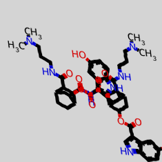 CN(C)CCCNC(=O)C1C2CCC(C(OC(=O)c3c[nH]c4ccc(O)cc34)C2)C1C(=O)NC(=O)C1C2CCC(CC2OC(=O)c2c[nH]c3ccc(O)cc23)C1C(=O)NCCCN(C)C